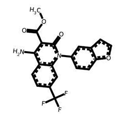 COC(=O)c1c(N)c2ccc(C(F)(F)F)cc2n(-c2ccc3occc3c2)c1=O